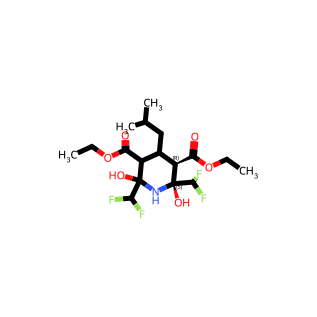 CCOC(=O)C1C(CC(C)C)[C@@H](C(=O)OCC)[C@](O)(C(F)F)NC1(O)C(F)F